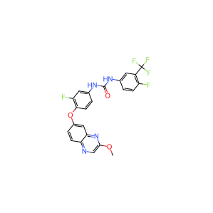 COc1cnc2ccc(Oc3ccc(NC(=O)Nc4ccc(F)c(C(F)(F)F)c4)cc3F)cc2n1